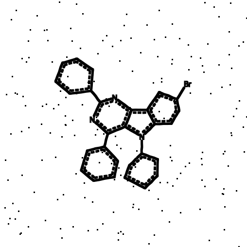 Brc1ccc2c(c1)c1nc(-c3ccccc3)nc(-c3ccccc3)c1n2-c1ccccc1